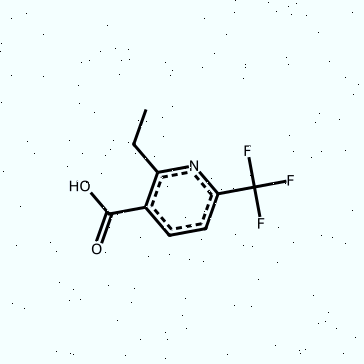 CCc1nc(C(F)(F)F)ccc1C(=O)O